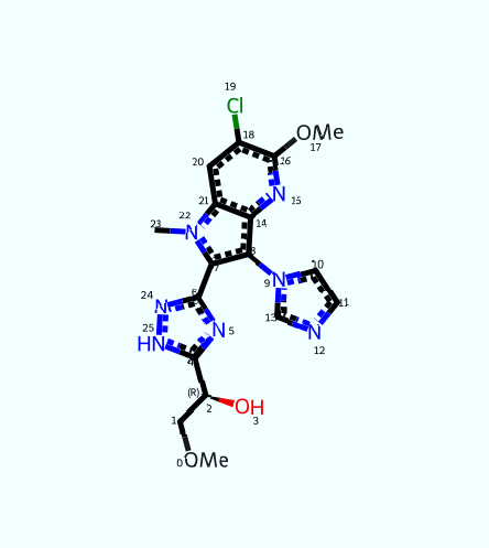 COC[C@H](O)c1nc(-c2c(-n3ccnc3)c3nc(OC)c(Cl)cc3n2C)n[nH]1